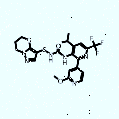 COc1cc(-c2nc(C(F)(F)F)cc(C(C)C)c2NC(=O)NSc2cnn3c2OCCC3)ccn1